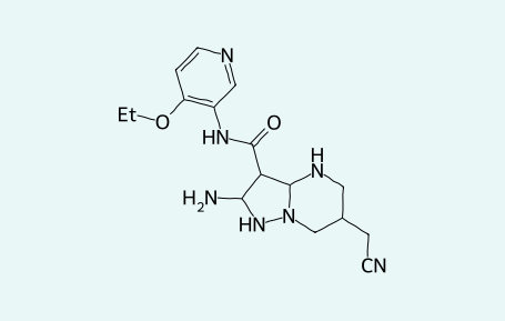 CCOc1ccncc1NC(=O)C1C(N)NN2CC(CC#N)CNC12